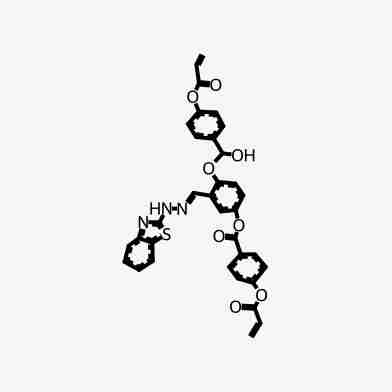 C=CC(=O)Oc1ccc(C(=O)Oc2ccc(OC(O)c3ccc(OC(=O)C=C)cc3)c(/C=N/Nc3nc4ccccc4s3)c2)cc1